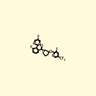 O=C(c1cccc(F)c1-c1ncc(F)cn1)N1CCC[C@@H](Oc2ncc(C(F)(F)F)cc2F)C1